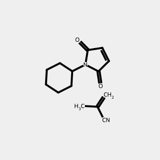 C=C(C)C#N.O=C1C=CC(=O)N1C1CCCCC1